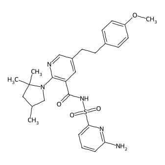 COc1ccc(CCc2cnc(N3CC(C)CC3(C)C)c(C(=O)NS(=O)(=O)c3cccc(N)n3)c2)cc1